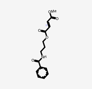 COC(=O)/C=C/C(=O)OCCCNC(=O)c1ccccc1